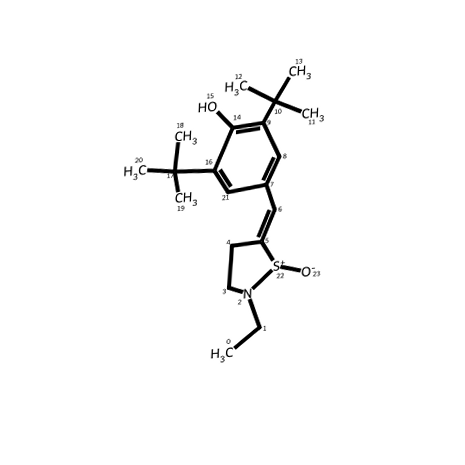 CCN1CC/C(=C\c2cc(C(C)(C)C)c(O)c(C(C)(C)C)c2)[S+]1[O-]